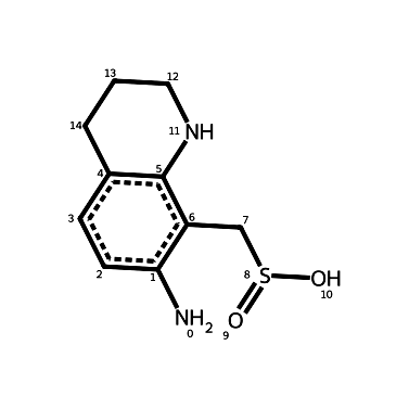 Nc1ccc2c(c1CS(=O)O)NCCC2